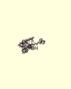 COC(=O)CCCCCC[C@@H]1[C@@H](/C=C/[C@H](CCC=C(C)C)OC2CCCCO2)[C@H](OC2CCCCO2)C[C@@H]1O